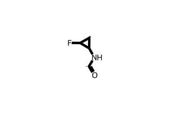 O=[C]NC1CC1F